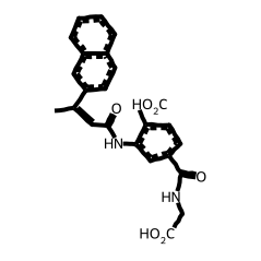 C/C(=C/C(=O)Nc1cc(C(=O)NCC(=O)O)ccc1C(=O)O)c1ccc2ccccc2c1